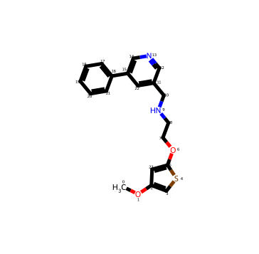 COc1csc(OCCNCc2cncc(-c3ccccc3)c2)c1